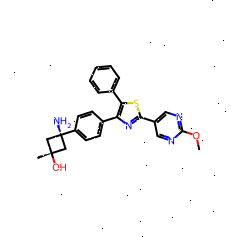 COc1ncc(-c2nc(-c3ccc([C@]4(N)C[C@](C)(O)C4)cc3)c(-c3ccccc3)s2)cn1